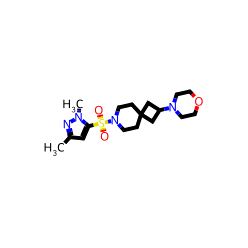 Cc1cc(S(=O)(=O)N2CCC3(CC2)CC(N2CCOCC2)C3)n(C)n1